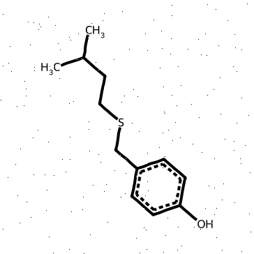 CC(C)CCSCc1ccc(O)cc1